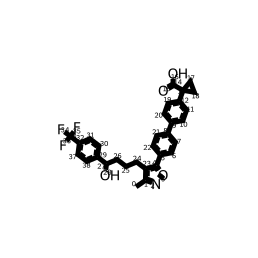 Cc1noc(-c2ccc(-c3ccc(C4(C(=O)O)CC4)cc3)cc2)c1CCCC(O)c1ccc(C(F)(F)F)cc1